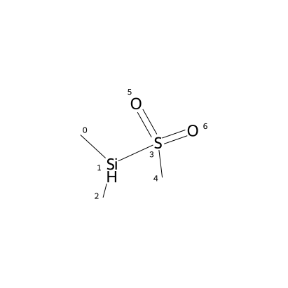 C[SiH](C)S(C)(=O)=O